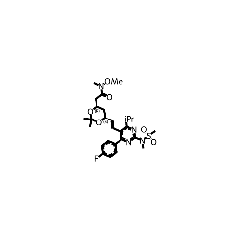 CON(C)C(=O)C[C@H]1C[C@@H](C=Cc2c(-c3ccc(F)cc3)nc(N(C)S(C)(=O)=O)nc2C(C)C)OC(C)(C)O1